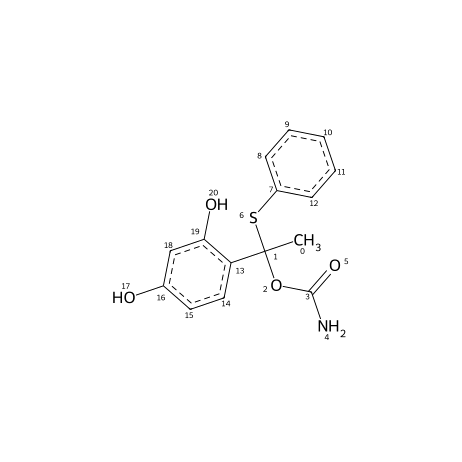 CC(OC(N)=O)(Sc1ccccc1)c1ccc(O)cc1O